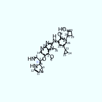 COc1c(O/C(C=N)=C2\C=NC=CN2)cnc2nc(Nc3cc(C4CC4)cn([C@@H]4CC[C@H]4O)c3=O)n(C)c12